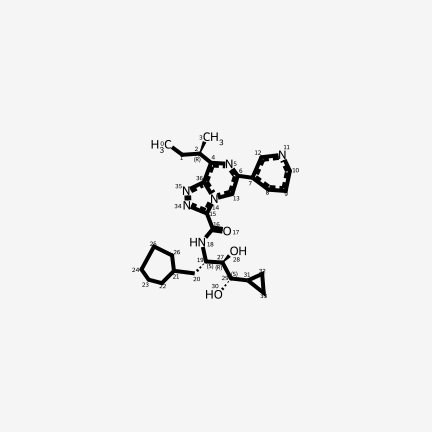 CC[C@@H](C)c1nc(-c2cccnc2)cn2c(C(=O)N[C@@H](CC3CCCCC3)[C@@H](O)[C@@H](O)C3CC3)nnc12